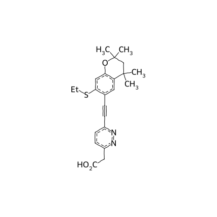 CCSc1cc2c(cc1C#Cc1ccc(CC(=O)O)nn1)C(C)(C)CC(C)(C)O2